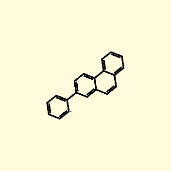 [c]1ccccc1-c1ccc2c(ccc3ccccc32)c1